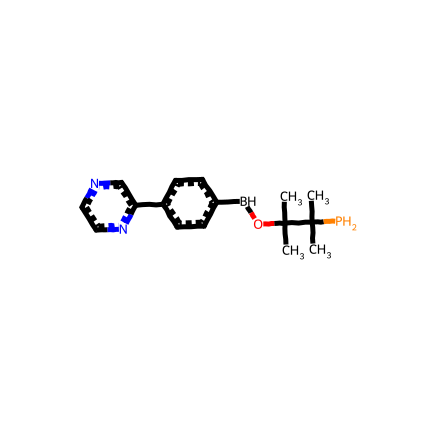 CC(C)(P)C(C)(C)OBc1ccc(-c2cnccn2)cc1